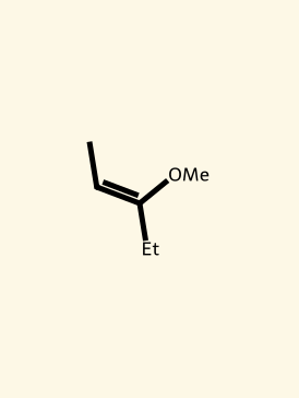 CC=C(CC)OC